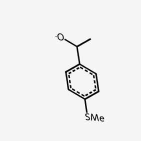 CSc1ccc(C(C)[O])cc1